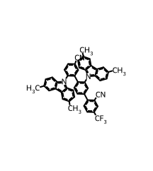 Cc1ccc2c(c1)c1cc(C)ccc1n2-c1ccc(C#N)cc1-c1ccc(-c2ccc(C(F)(F)F)cc2C#N)cc1-n1c2ccc(C)cc2c2cc(C)ccc21